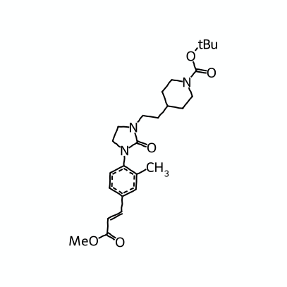 COC(=O)C=Cc1ccc(N2CCN(CCC3CCN(C(=O)OC(C)(C)C)CC3)C2=O)c(C)c1